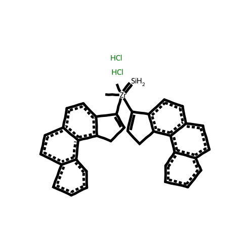 Cl.Cl.[CH3][Zr]([CH3])(=[SiH2])([C]1=CCc2c1ccc1ccc3ccccc3c21)[C]1=CCc2c1ccc1ccc3ccccc3c21